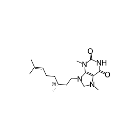 CC(C)=CCC[C@@H](C)CCN1CN(C)c2c1n(C)c(=O)[nH]c2=O